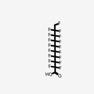 O=C(O)C(F)(F)C(F)(F)C(F)(F)C(F)(F)C(F)(F)C(F)(F)C(F)(F)C(F)(F)CF